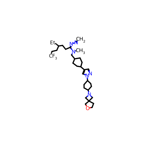 C=N/N=C(/CCC(CC)CCC(F)(F)F)N(C)CC1CCC(c2cnn(C3CCC(N4CC5(CCOC5)C4)CC3)c2)CC1